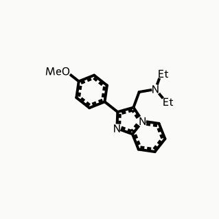 CCN(CC)Cc1c(-c2ccc(OC)cc2)nc2ccccn12